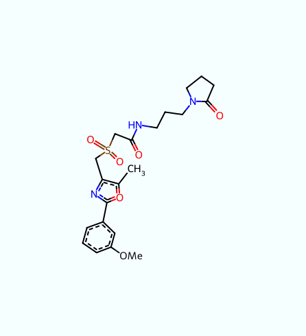 COc1cccc(-c2nc(CS(=O)(=O)CC(=O)NCCCN3CCCC3=O)c(C)o2)c1